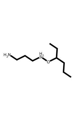 CCCC(CC)O[SiH2]CCCN